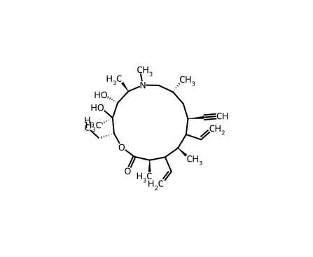 C#C[C@@H]1C[C@@H](C)CN(C)[C@H](C)[C@@H](O)[C@](C)(O)[C@@H](CC)OC(=O)[C@H](C)C(C=C)[C@H](C)C1C=C